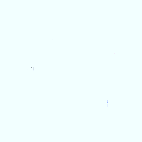 CC(Cc1ccc([N+](=O)[O-])cc1)OC(=O)C1CCNCC1